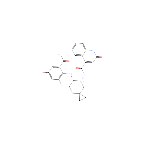 CNC(=O)c1cc(Br)cc([N+](=O)[O-])c1N[C@@H]1CCC2(CC2)C[C@@H]1NC(=O)c1cc(=O)[nH]c2ccccc12